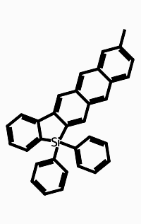 Cc1ccc2cc3cc4c(cc3cc2c1)-c1ccccc1[Si]4(c1ccccc1)c1ccccc1